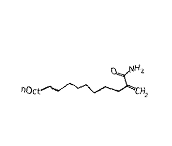 C=C(CCCCCCCCCCCCCCCC)C(N)=O